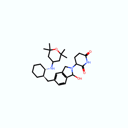 CC1(C)CC(N[C@H]2CCCC[C@@H]2Cc2ccc3c(c2)CN(C2CCC(=O)NC2=O)C3O)CC(C)(C)O1